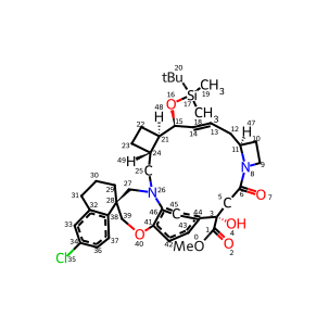 COC(=O)[C@]1(O)CC(=O)N2CC[C@@H]2C/C=C/[C@H](O[Si](C)(C)C(C)(C)C)[C@@H]2CC[C@H]2CN2C[C@@]3(CCCc4cc(Cl)ccc43)COc3ccc1cc32